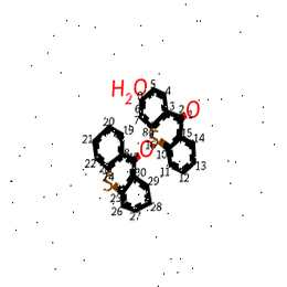 O.O=c1c2ccccc2sc2ccccc12.O=c1c2ccccc2sc2ccccc12